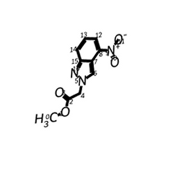 COC(=O)Cn1cc2c([N+](=O)[O-])cccc2n1